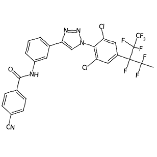 CC(F)(F)C(F)(c1cc(Cl)c(-n2cc(-c3cccc(NC(=O)c4ccc(C#N)cc4)c3)nn2)c(Cl)c1)C(F)(F)C(F)(F)F